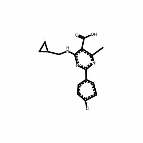 Cc1nc(-c2ccc(Cl)cc2)nc(NCC2CC2)c1C(=O)O